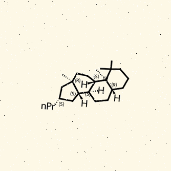 CCC[C@H]1C[C@H]2[C@@H]3CC[C@H]4CCCC(C)(C)[C@]4(C)[C@H]3CC[C@]2(C)C1